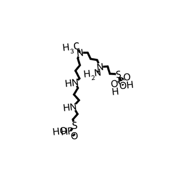 CN(CCCCNCCCNCCS[PH](=O)O)CCCN(N)CCSP(=O)(O)O